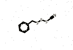 N#CSSSCc1ccccc1